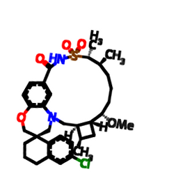 CO[C@H]1CCC[C@H](C)[C@@H](C)S(=O)(=O)NC(=O)c2ccc3c(c2)N(C[C@H]2[C@H]1C[C@H]2C)C[C@@]1(CCCc2cc(Cl)ccc21)CO3